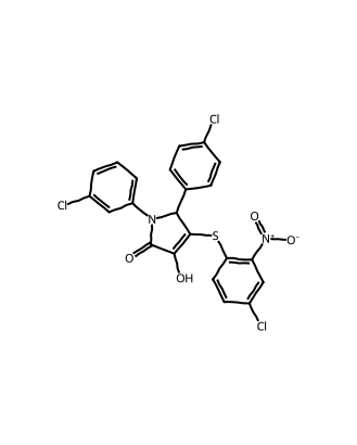 O=C1C(O)=C(Sc2ccc(Cl)cc2[N+](=O)[O-])C(c2ccc(Cl)cc2)N1c1cccc(Cl)c1